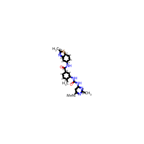 CNc1cc(NC(=O)Nc2cc(C(=O)Nc3ccc4sc(C)nc4c3)ccc2C)nc(C)n1